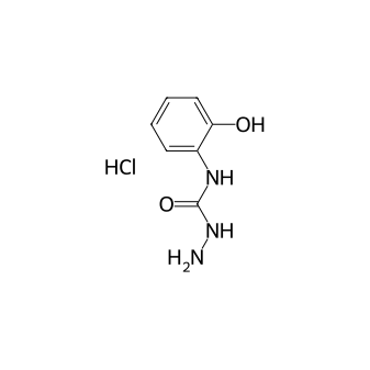 Cl.NNC(=O)Nc1ccccc1O